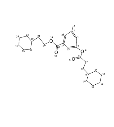 Cc1cc(OC(=O)CCC2CCCCC2)cc(C(=O)OCCC2CCCCC2)c1